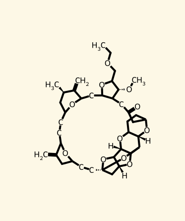 C=C1CC2CC[C@@]34C[C@H]5OC6C(O3)[C@H]3OC(CCC3O[C@H]6C5O4)CC(=O)CC3C(CC4OC(CCC1O2)C[C@@H](C)C4=C)OC(COCC)[C@@H]3OC